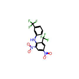 O=[N+]([O-])c1cc([N+](=O)[O-])c(Nc2cccc(C(F)(F)F)c2)c(C(F)(F)F)c1